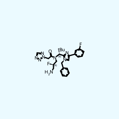 CC(C)(C)[C@H](c1nc(-c2cccc(F)c2)cn1Cc1ccccc1)N(C[C@H](F)CN)C(=O)Cn1ncnn1